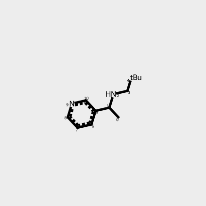 CC(NCC(C)(C)C)c1cccnc1